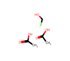 CC(=O)O.CC(=O)O.OCF